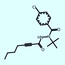 CCCCC#CC(=O)NN(C(=O)c1ccc(Cl)cc1)C(C)(C)C